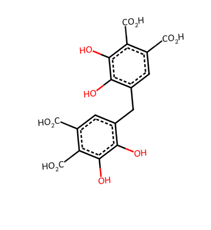 O=C(O)c1cc(Cc2cc(C(=O)O)c(C(=O)O)c(O)c2O)c(O)c(O)c1C(=O)O